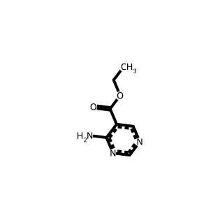 CCOC(=O)c1cncnc1N